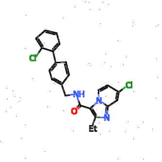 CCc1nc2cc(Cl)ccn2c1C(=O)NCc1ccc(-c2ccccc2Cl)cc1